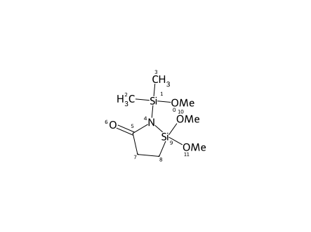 CO[Si](C)(C)N1C(=O)CC[Si]1(OC)OC